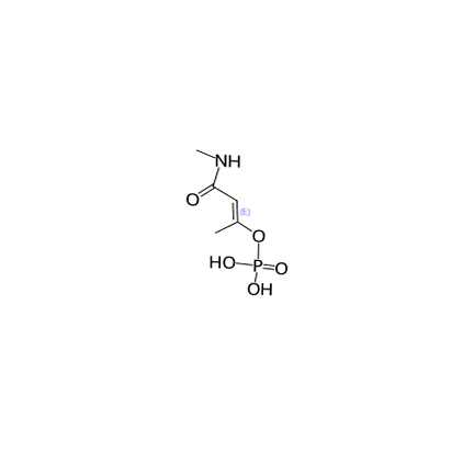 CNC(=O)/C=C(\C)OP(=O)(O)O